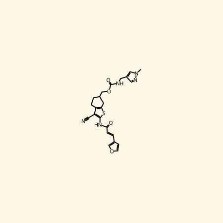 Cn1cc(CNC(=O)OCC2CCc3c(sc(NC(=O)C=Cc4ccoc4)c3C#N)C2)cn1